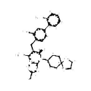 CCCc1c(Cc2ccc(-c3ccccc3C#N)cc2F)c(=O)n(C2CCC3(CC2)OCCO3)c2nc(C)nn12